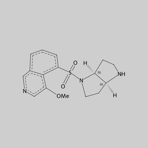 COc1cncc2cccc(S(=O)(=O)N3CC[C@@H]4NCC[C@@H]43)c12